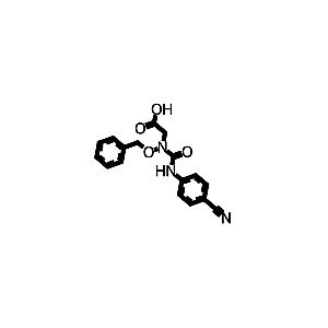 N#Cc1ccc(NC(=O)N(CC(=O)O)OCc2ccccc2)cc1